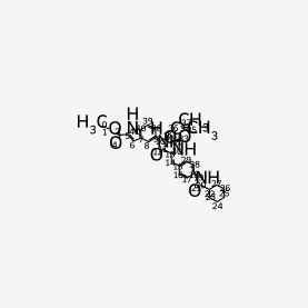 CCOC(=O)c1cc2cc(NC(=O)C(Cc3ccc(NC(=O)C4CCCCC4)cc3)NC(=O)OC(C)(C)C)ccc2[nH]1